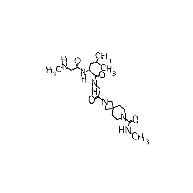 CNCC(=O)NC(CC(C)C)C(=O)NCC(=O)N1CC2(CCN(C(=O)NC)CC2)C1